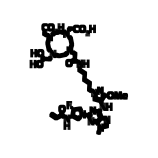 C=CC(=O)N[C@@H]1CN(c2nc(Nc3cn(CCCCCNC(=O)CN4CCN(CC(=O)O)CCN(CC(=O)O)CCN(CC(O)O)CC4)nc3OC)c3ncn(C)c3n2)C[C@H]1F